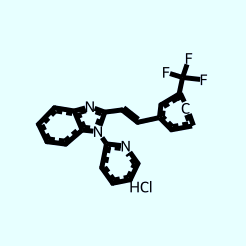 Cl.FC(F)(F)c1cccc(C=Cc2nc3ccccc3n2-c2ccccn2)c1